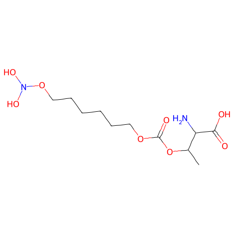 CC(OC(=O)OCCCCCCON(O)O)C(N)C(=O)O